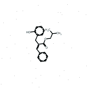 CC(C)COC(=O)C(=Cc1ccccc1)Cc1ccccc1O